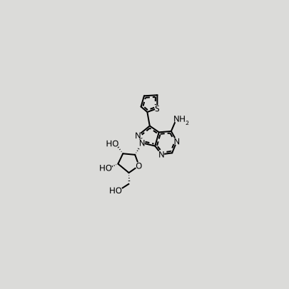 Nc1ncnc2c1c(-c1cccs1)nn2[C@@H]1O[C@H](CO)[C@H](O)[C@@H]1O